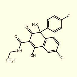 CC1(c2ccc(Cl)cc2)C(=O)C(C(=O)NCC(=O)O)=C(O)c2cc(Cl)ccc21